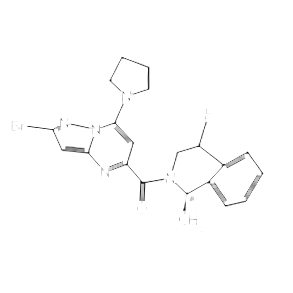 C[C@@H]1c2ccccc2C(F)CN1C(=O)c1cc(N2CCCC2)n2nc(Br)cc2n1